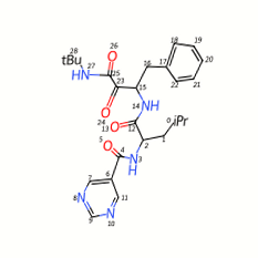 CC(C)CC(NC(=O)c1cncnc1)C(=O)NC(Cc1ccccc1)C(=O)C(=O)NC(C)(C)C